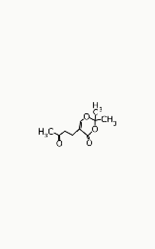 CC(=O)CCC1=COC(C)(C)OC1=O